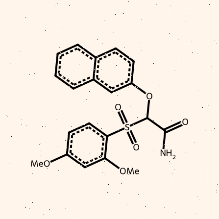 COc1ccc(S(=O)(=O)C(Oc2ccc3ccccc3c2)C(N)=O)c(OC)c1